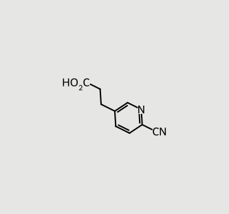 N#Cc1ccc(CCC(=O)O)cn1